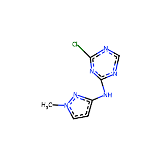 Cn1ccc(Nc2ncnc(Cl)n2)n1